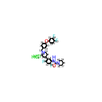 Cl.Cl.O=C(Nc1cc(C2CCN(Cc3ccc(Oc4ccc(F)c(F)c4)cc3)CC2)c(F)cc1F)N1CC[CH]CC1